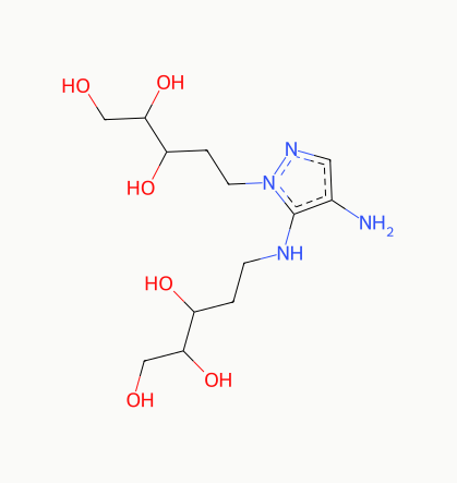 Nc1cnn(CCC(O)C(O)CO)c1NCCC(O)C(O)CO